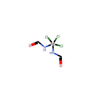 O=C[NH][Hf]([Cl])([Cl])([Cl])[NH]C=O